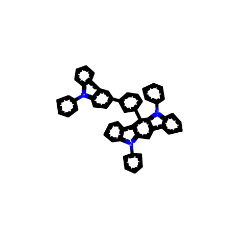 c1ccc(-n2c3ccccc3c3cc(-c4cccc(-c5c6c7ccccc7n(-c7ccccc7)c6cc6c7ccccc7n(-c7ccccc7)c56)c4)ccc32)cc1